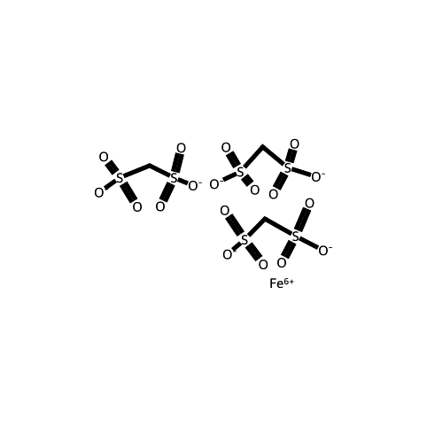 O=S(=O)([O-])CS(=O)(=O)[O-].O=S(=O)([O-])CS(=O)(=O)[O-].O=S(=O)([O-])CS(=O)(=O)[O-].[Fe+6]